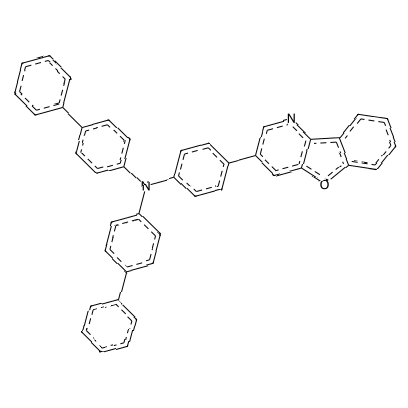 c1ccc(-c2ccc(N(c3ccc(-c4ccccc4)cc3)c3ccc(-c4cnc5c(c4)oc4ccccc45)cc3)cc2)cc1